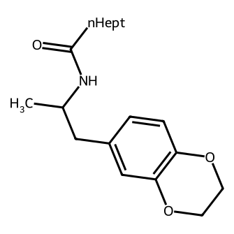 CCCCCCCC(=O)NC(C)Cc1ccc2c(c1)OCCO2